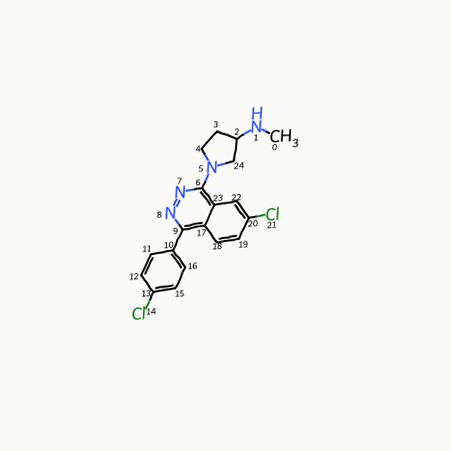 CNC1CCN(c2nnc(-c3ccc(Cl)cc3)c3ccc(Cl)cc23)C1